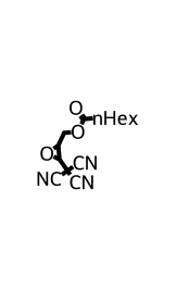 CCCCCCC(=O)OCC1OC1C(C#N)(C#N)C#N